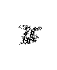 CC(=O)N1CCC2(CC1)C(=O)N([C@H]1C[C@@H](N3CCC[C@@H](C(=O)O)C3)C1)c1cc(-c3cc4ncn(C(C)C)c4c(Nc4cc(C(=O)NC(C)C)c(C)cc4F)n3)ccc12